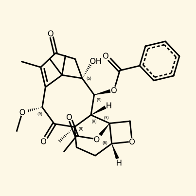 CO[C@H]1C(=O)[C@]2(C)CC[C@H]3OC[C@@]3(OC(C)=O)[C@H]2[C@H](OC(=O)c2ccccc2)[C@]2(O)CC(=O)C(C)=C1C2(C)C